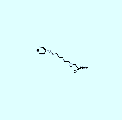 CNC(=O)COCCCCCCOc1ccc(C)cc1